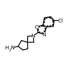 NC1CCC2(C1)CN(c1nc3cc(Cl)ccc3o1)C2